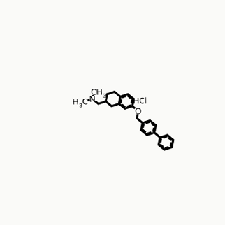 CN(C)CC1CCc2ccc(OCc3ccc(-c4ccccc4)cc3)cc2C1.Cl